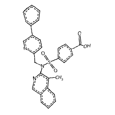 Cc1c(N(Cc2ccc(-c3ccccc3)cn2)S(=O)(=O)c2ccc(C(=O)O)cc2)ncc2ccccc12